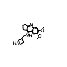 COc1cc2nc3c(c(NCC4CCNC4)c2cc1OC)CCC3